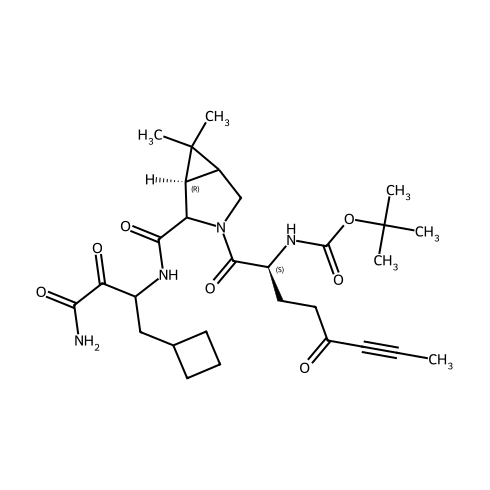 CC#CC(=O)CC[C@H](NC(=O)OC(C)(C)C)C(=O)N1CC2[C@@H](C1C(=O)NC(CC1CCC1)C(=O)C(N)=O)C2(C)C